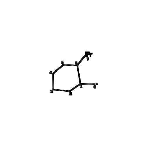 [CH2]C1CCCCC1C(C)C